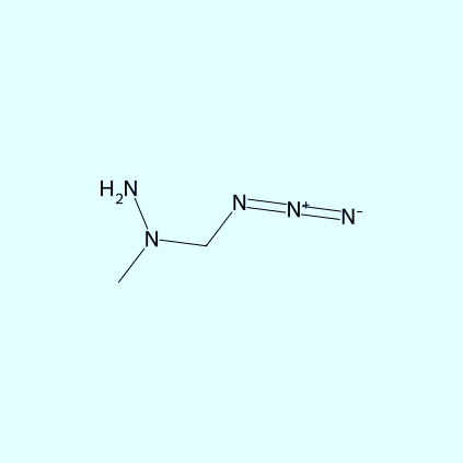 CN(N)CN=[N+]=[N-]